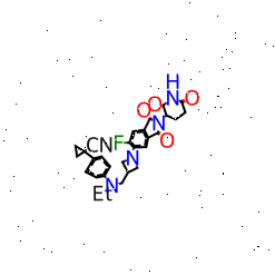 CCN(CC1CN(c2cc3c(cc2F)C(=O)N(C2CCC(=O)NC2=O)C3=O)C1)c1ccc(C2(C#N)CC2)cc1